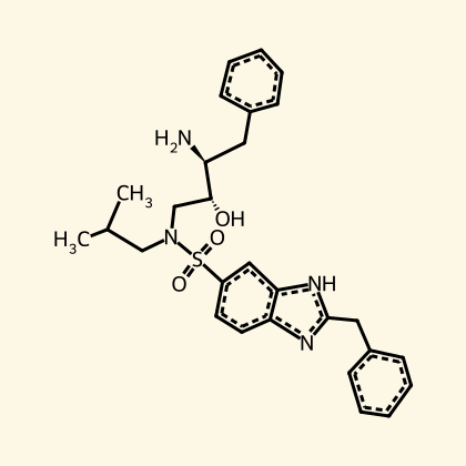 CC(C)CN(C[C@@H](O)[C@@H](N)Cc1ccccc1)S(=O)(=O)c1ccc2nc(Cc3ccccc3)[nH]c2c1